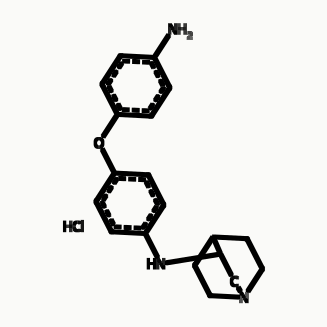 Cl.Nc1ccc(Oc2ccc(NC3CN4CCC3CC4)cc2)cc1